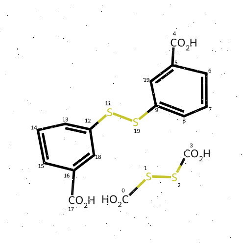 O=C(O)SSC(=O)O.O=C(O)c1cccc(SSc2cccc(C(=O)O)c2)c1